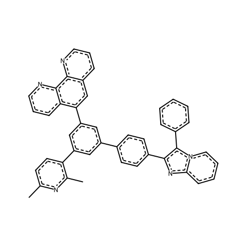 Cc1ccc(-c2cc(-c3ccc(-c4nc5ccccn5c4-c4ccccc4)cc3)cc(-c3cc4cccnc4c4ncccc34)c2)c(C)n1